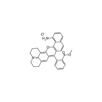 COC(=O)c1ccccc1C1=c2cc3c4c(c2Oc2c1ccc1cccc(N)c21)CCC[N+]=4CCC3.[Cl-]